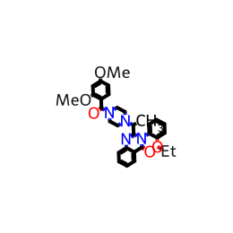 CCOc1ccccc1-n1c(C(C)N2CCN(C(=O)c3ccc(OC)cc3OC)CC2)nc2ccccc2c1=O